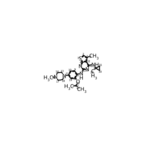 Cc1csc2nc(Nc3ccc(N4CCN(C)CC4)cc3OC(C)C)nc(NC3(C)CC3)c12